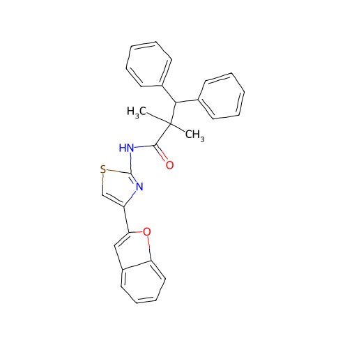 CC(C)(C(=O)Nc1nc(-c2cc3ccccc3o2)cs1)C(c1ccccc1)c1ccccc1